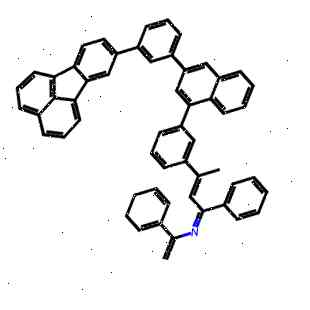 C=C(/N=C(\C=C(/C)c1cccc(-c2cc(-c3cccc(-c4ccc5c(c4)-c4cccc6cccc-5c46)c3)cc3ccccc23)c1)c1ccccc1)C1=CCCC=C1